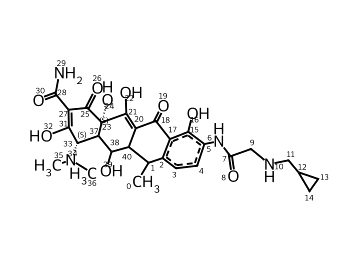 CC1c2ccc(NC(=O)CNCC3CC3)c(O)c2C(=O)C2=C(O)[C@]3(O)C(=O)C(C(N)=O)=C(O)[C@@H](N(C)C)C3C(O)C21